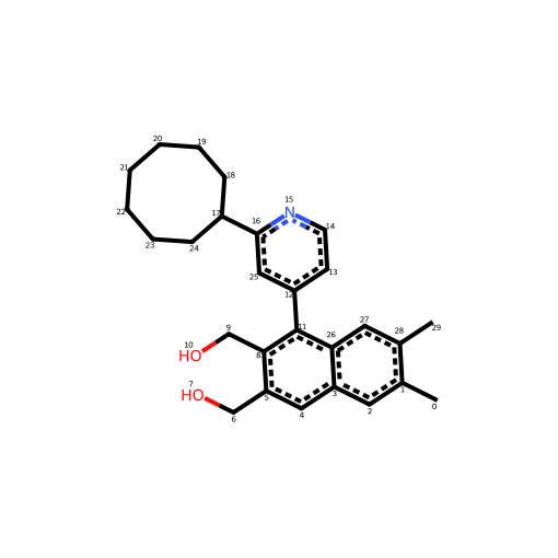 Cc1cc2cc(CO)c(CO)c(-c3ccnc(C4CCCCCCC4)c3)c2cc1C